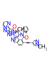 C[C@@H](NC(=O)c1c(N)nn2cccnc12)c1c2c3c(ccc(C#Cc4cnn(C)c4)c3c(=O)n1-c1ccccc1)C1C3C2N13